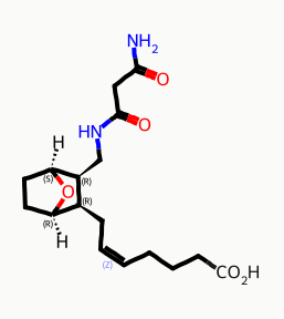 NC(=O)CC(=O)NC[C@H]1[C@@H](C/C=C\CCCC(=O)O)[C@H]2CC[C@@H]1O2